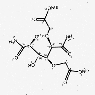 COC(=O)CO[C@@H]([C@H](O)[C@H](O)C(N)=O)[C@@H](OCC(=O)OC)C(N)=O